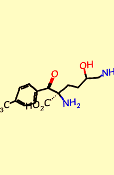 Cc1ccc(C(=O)[C@](N)(CCC(O)CN)C(=O)O)cc1